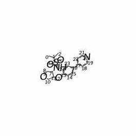 CC(C)S(=O)(=O)N[C@H]1COC[C@H]1Oc1ccc(-c2ccncc2)cc1